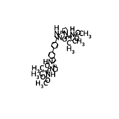 COC(=O)N[C@H](C(=O)N1CCC[C@H]1c1cc2cc(-c3ccc(-c4c[nH]c([C@@H]5CCCN5C(=O)[C@@H](NC(=O)OC)C(C)C)n4)cc3)ccc2[nH]1)C(C)C